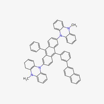 CN1C2=C(C=CCC2)N(c2ccc3c(-c4cccc(-c5ccc6ccccc6c5)c4)c4cc(N5c6ccccc6N(C)c6ccccc65)ccc4c(-c4ccccc4)c3c2)c2ccccc21